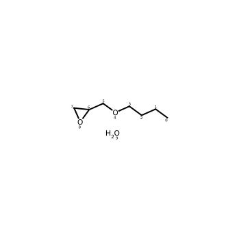 CCCCOCC1CO1.O